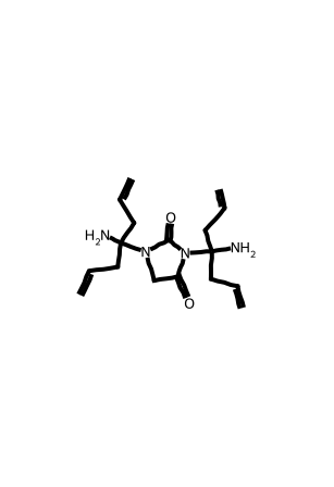 C=CCC(N)(CC=C)N1CC(=O)N(C(N)(CC=C)CC=C)C1=O